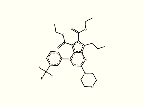 CCCc1c(C(=O)OCC)c(C(=O)OCC)c2c(-c3cccc(C(F)(F)F)c3)cc(N3CCOCC3)nn12